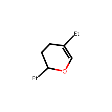 CCC1=COC(CC)CC1